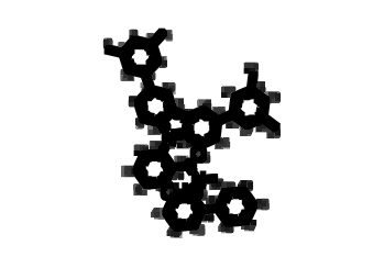 Cc1cc(C)cc(-c2ccc3c(c2)c2cc(-c4cc(C)cc(C)c4)ccc2n3-c2cccc(C=O)c2C(=O)N(C)c2ccccc2-c2ccccc2)c1